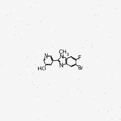 Cn1c(-c2cncc(O)c2)nc2cc(Br)c(F)cc21